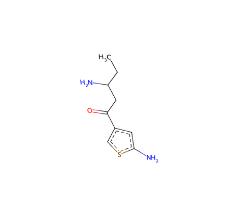 CCC(N)CC(=O)c1csc(N)c1